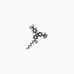 CCCCCCCC(=O)c1ccc2c(c1)c1cc(-c3cccs3)ccc1n2-c1ccc(C(C)=O)cc1